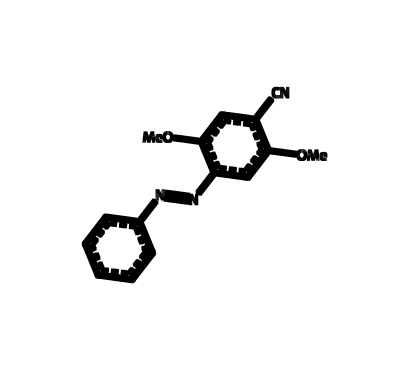 COc1cc(/N=N/c2ccccc2)c(OC)cc1C#N